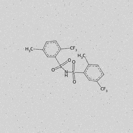 Cc1ccc(C(F)(F)F)c(S(=O)(=O)NS(=O)(=O)c2cc(C(F)(F)F)ccc2C)c1